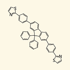 c1ccc(C2(c3ccccc3)c3cc(-c4ccc(-c5nccs5)cc4)ccc3-c3ccc(-c4ccc(-c5nccs5)cc4)cc32)cc1